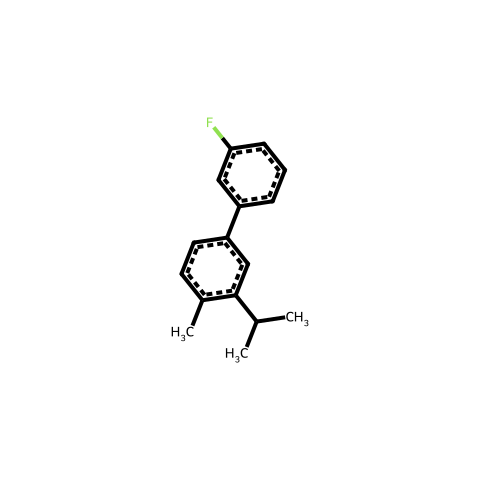 Cc1ccc(-c2cccc(F)c2)cc1C(C)C